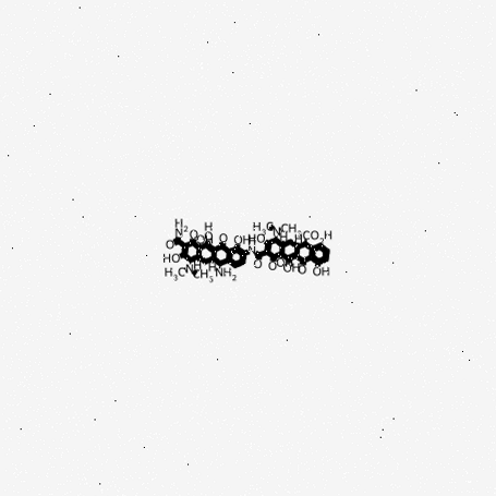 CN(C)[C@@H]1C(O)=C(C(N)=O)C(=O)[C@@]2(O)C(O)=C3C(=O)c4c(ccc(NC(=O)C5=C(O)[C@@H](N(C)C)[C@@H]6C[C@H]7C(=C(O)[C@]6(O)C5=O)C(=O)c5c(O)cccc5[C@@H]7C(=O)O)c4O)[C@H](N)[C@H]3C[C@@H]12